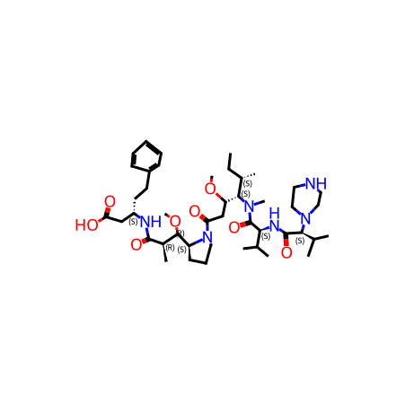 CC[C@H](C)[C@@H](C(CC(=O)N1CCC[C@H]1[C@H](OC)[C@@H](C)C(=O)N[C@@H](CCc1ccccc1)CC(=O)O)OC)N(C)C(=O)[C@@H](NC(=O)[C@H](C(C)C)N1CCNCC1)C(C)C